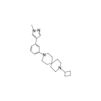 Cn1cc(-c2cccc(N3CCC4(CC3)CCN(C3CCC3)CC4)c2)cn1